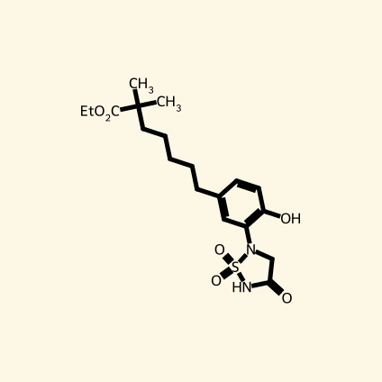 CCOC(=O)C(C)(C)CCCCCc1ccc(O)c(N2CC(=O)NS2(=O)=O)c1